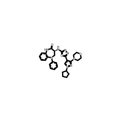 O=C1Nc2ccccc2N(c2ccccc2)C[C@@H]1Nc1nnc(-c2cn(C3CCCC3)nc2N2CCOCC2)o1